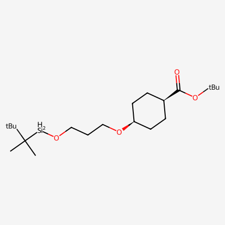 CC(C)(C)OC(=O)[C@H]1CC[C@@H](OCCCO[SiH2]C(C)(C)C(C)(C)C)CC1